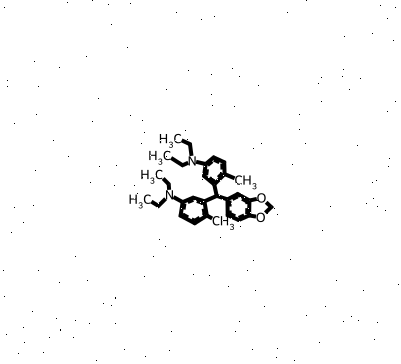 CCN(CC)c1ccc(C)c(C(c2ccc3c(c2)OCO3)c2cc(N(CC)CC)ccc2C)c1